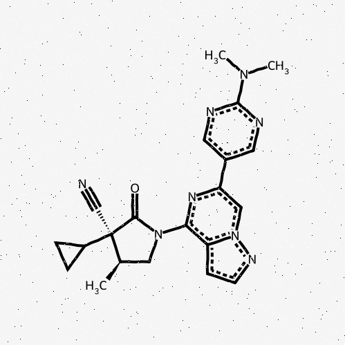 C[C@@H]1CN(c2nc(-c3cnc(N(C)C)nc3)cn3nccc23)C(=O)[C@]1(C#N)C1CC1